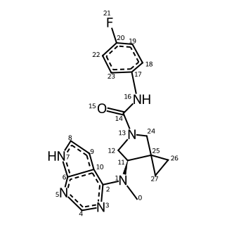 CN(c1ncnc2[nH]ccc12)[C@H]1CN(C(=O)Nc2ccc(F)cc2)CC12CC2